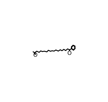 CC(=O)CCCCCCCCCCCCCCCCCC(=O)c1ccccc1